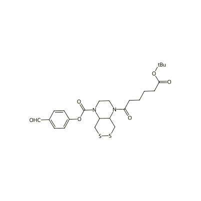 CC(C)(C)OC(=O)CCCCC(=O)N1CCN(C(=O)Oc2ccc(C=O)cc2)C2CSSCC21